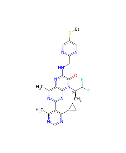 CCSc1cnc(CNc2nc3c(C)nc(-c4c(C)ncnc4C4CC4)nc3n([C@H](C)C(F)F)c2=O)nc1